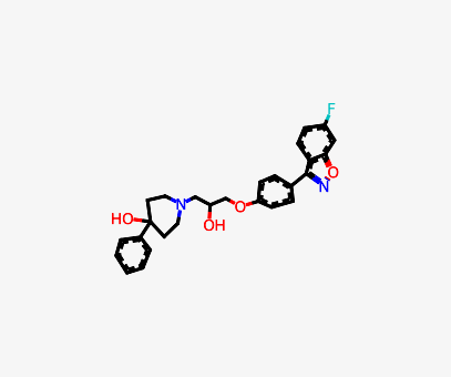 OC(COc1ccc(-c2noc3cc(F)ccc23)cc1)CN1CCC(O)(c2ccccc2)CC1